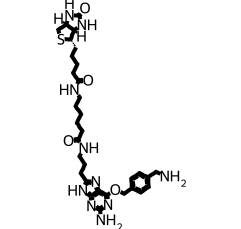 NCc1ccc(COc2nc(N)nc3[nH]c(CCCNC(=O)CCCCCNC(=O)CCCC[C@@H]4SC[C@@H]5NC(=O)N[C@@H]54)nc23)cc1